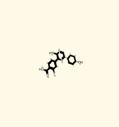 Nc1ncc([C@H]2CC[C@@H](O)CC2)nc1-c1ccc(C(=O)O)c(F)c1